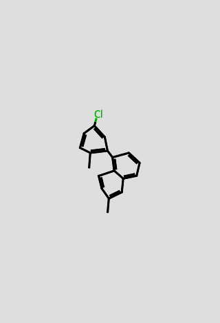 Cc1ccc2c(-c3cc(Cl)ccc3C)cccc2c1